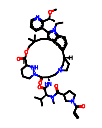 C=CC(=O)N1CCC(C(=O)N(C)[C@H](C(=O)N[C@H]2CN3CC[C@H](C3)c3ccc4c(c3)c(c(-c3cccnc3[C@H](C)OC)n4CC)CC(C)(C)COC(=O)[C@@H]3CCCN(N3)C2=O)C(C)C)C1